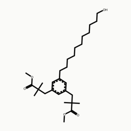 COC(=O)C(C)(C)Cc1cc(CCCCCCCCCCCO)cc(CC(C)(C)C(=O)OC)c1